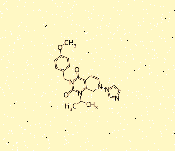 COc1ccc(Cn2c(=O)c3c(n(C(C)C)c2=O)CN(n2ccnc2)C=C3)cc1